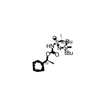 CC[C@H](C)[C@@H](C)S(=O)(=N[Si](C)(C)C(C)(C)C)NC(=O)O[C@@H](C)c1ccccc1